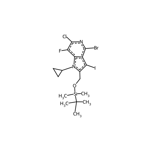 CC(C)(C)[Si](C)(C)OCc1c(I)c2c(Br)nc(Cl)c(F)c2n1C1CC1